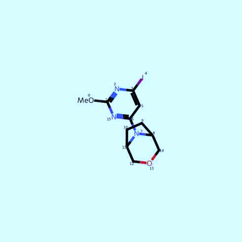 COc1nc(I)cc(N2C3CCC2COC3)n1